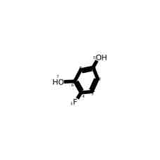 Oc1c[c]c(F)c(O)c1